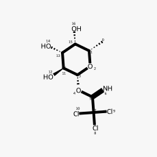 C[C@@H]1O[C@H](OC(=N)C(Cl)(Cl)Cl)[C@@H](O)[C@H](O)[C@@H]1O